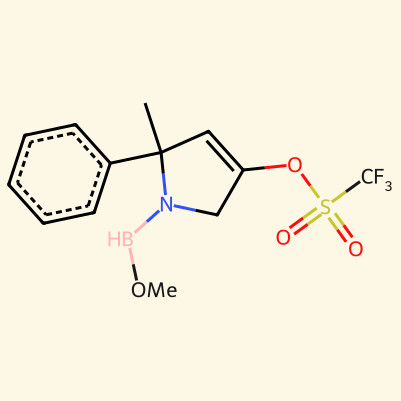 COBN1CC(OS(=O)(=O)C(F)(F)F)=CC1(C)c1ccccc1